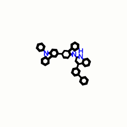 C1=CC(c2ccc3c(c2)c2ccccc2n3-c2ccccc2)Cc2c1n(C1C=C(c3cccc(-c4ccccc4)c3)c3ccccc3N1)c1ccccc21